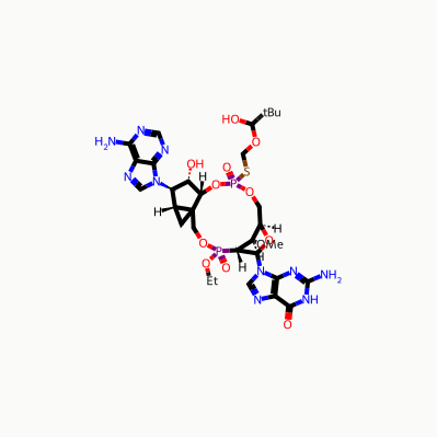 CCOP1(=O)OCC23C[C@@H]2[C@@H](n2cnc4c(N)ncnc42)[C@H](O)[C@@H]3OP(=O)(SCOC(O)C(C)(C)C)OC[C@H]2OC(n3cnc4c(=O)[nH]c(N)nc43)[C@H]1[C@@H]2OC